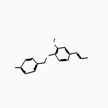 CCOc1cc(/C=C/C(=O)O)ccc1OCc1ccc(C(C)(C)C)cc1